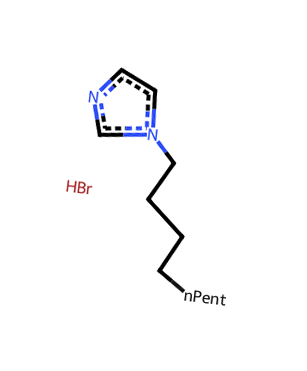 Br.CCCCCCCCCn1ccnc1